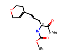 CNC(=O)[C@H](C/C=C/C1=CCOCC1)NC(=O)OC(C)(C)C